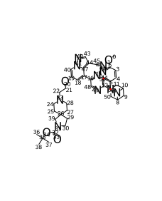 COc1ccc(CN2C3CC2CN(c2cnc(-c4cc(OCCN5CCC6(CC5)CCN(C(=O)OC(C)(C)C)C6)cn5ncc(C#N)c45)cn2)C3)cn1